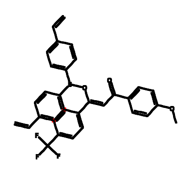 C=Cc1ccc(B(O/C(=C\C(=O)c2ccc(OC)cc2)c2ccc(C(F)(F)F)cc2)c2ccc(C=C)cc2)cc1